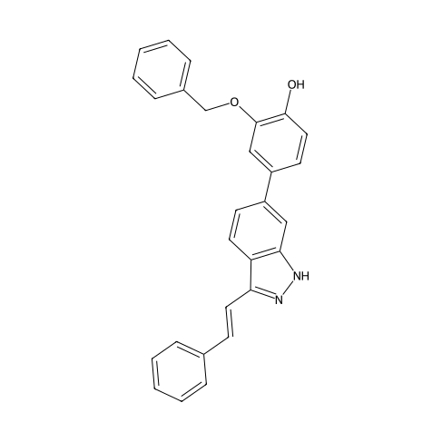 Oc1ccc(-c2ccc3c(C=Cc4ccccc4)n[nH]c3c2)cc1OCc1ccccc1